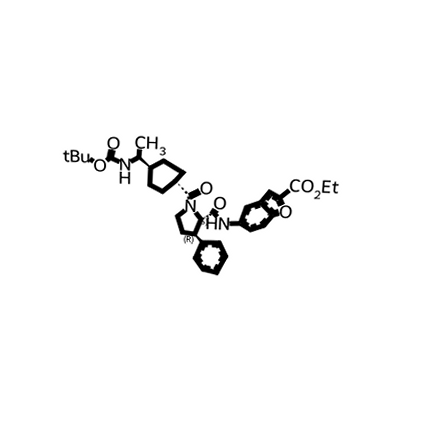 CCOC(=O)c1cc2cc(NC(=O)[C@@H]3[C@@H](c4ccccc4)CCN3C(=O)[C@H]3CC[C@H](C(C)NC(=O)OC(C)(C)C)CC3)ccc2o1